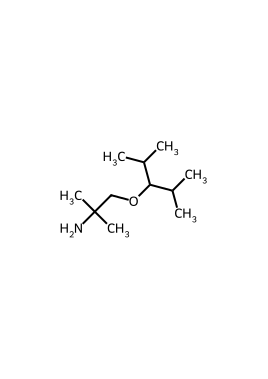 CC(C)C(OCC(C)(C)N)C(C)C